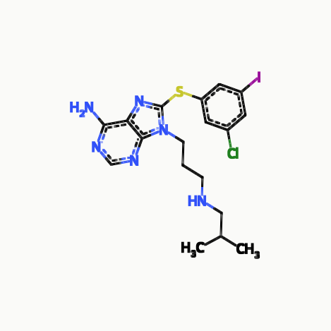 CC(C)CNCCCn1c(Sc2cc(Cl)cc(I)c2)nc2c(N)ncnc21